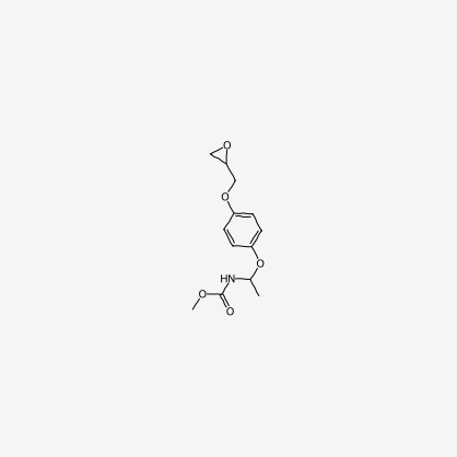 COC(=O)NC(C)Oc1ccc(OCC2CO2)cc1